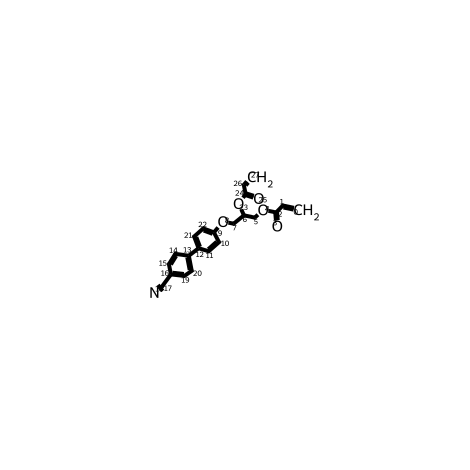 C=CC(=O)OCC(COc1ccc(-c2ccc(C#N)cc2)cc1)OC(=O)C=C